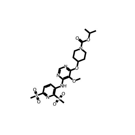 COc1c(Nc2ccc(S(C)(=O)=O)nc2S(C)(=O)=O)ncnc1OC1CCN(C(=O)OC(C)C)CC1